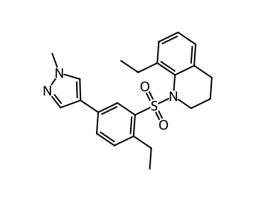 CCc1ccc(-c2cnn(C)c2)cc1S(=O)(=O)N1CCCc2cccc(CC)c21